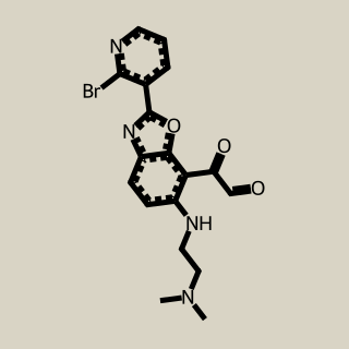 CN(C)CCNc1ccc2nc(-c3cccnc3Br)oc2c1C(=O)C=O